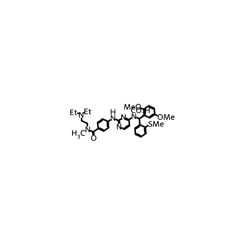 CCN(CC)CCN(C)C(=O)c1ccc(Nc2nccc(N(C(=O)O)C(c3cc(OC)ccc3OC)c3ccccc3SC)n2)cc1